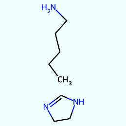 C1=NCCN1.CCCCCN